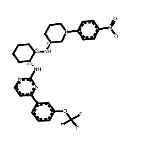 O=[N+]([O-])c1ccc(N2CCC[C@H](N[C@@H]3CCCC[C@H]3Nc3nccc(-c4cccc(OC(F)(F)F)c4)n3)C2)cc1